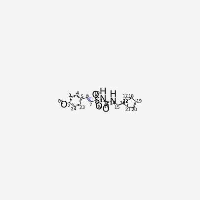 COc1ccc(/C=C/S(=O)(=O)NC(=O)NCC2CC3C=CC2C3)cc1